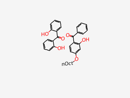 CCCCCCCCOc1ccc(C(=O)c2ccccc2)c(O)c1.O=C(c1ccccc1O)c1ccccc1O